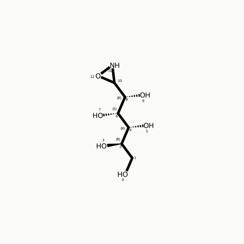 OC[C@@H](O)[C@@H](O)[C@H](O)[C@@H](O)C1NO1